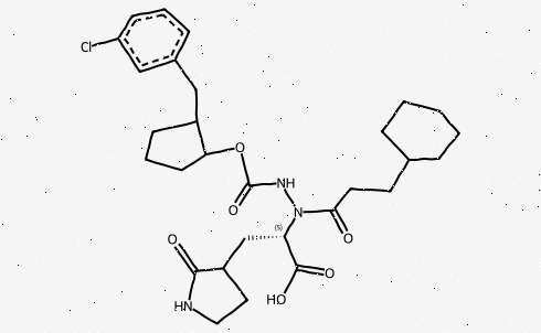 O=C(NN(C(=O)CCC1CCCCC1)[C@@H](CC1CCNC1=O)C(=O)O)OC1CCCC1Cc1cccc(Cl)c1